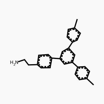 Cc1ccc(-c2cc(-c3ccc(C)cc3)cc(-c3ccc(CCN)cc3)c2)cc1